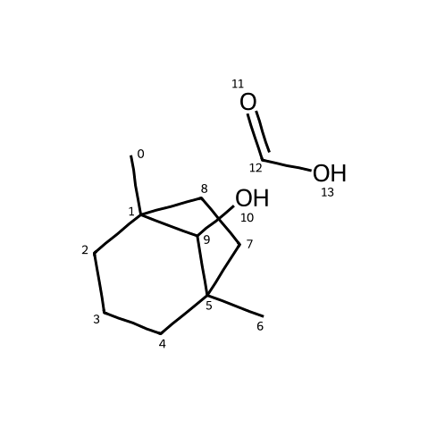 CC12CCCC(C)(CC1)C2O.O=CO